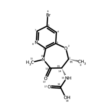 C[C@H]1Oc2cc(Br)cnc2N(C)C(=O)[C@H]1NC(=O)O